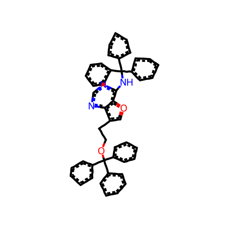 c1ccc(C(Nc2ncnc3c(CCOC(c4ccccc4)(c4ccccc4)c4ccccc4)coc23)(c2ccccc2)c2ccccc2)cc1